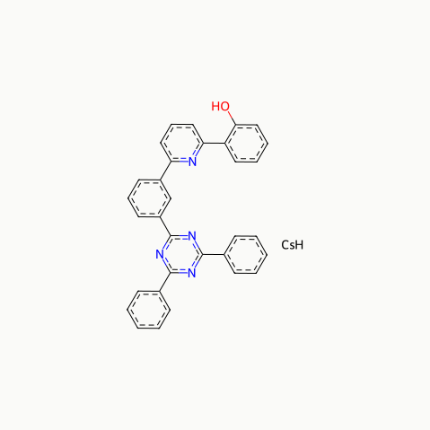 Oc1ccccc1-c1cccc(-c2cccc(-c3nc(-c4ccccc4)nc(-c4ccccc4)n3)c2)n1.[CsH]